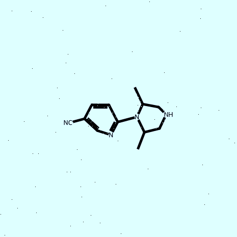 CC1CNCC(C)N1c1ccc(C#N)cn1